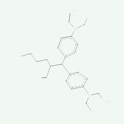 CCCCC(CC)C(c1ccc(N(CC)CC)cc1)c1ccc(N(CC)CC)cc1